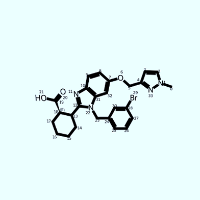 Cn1ccc(COc2ccc3nc(C4CCCC[C@H]4C(=O)O)n(Cc4cccc(Br)c4)c3c2)n1